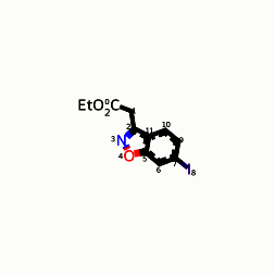 CCOC(=O)Cc1noc2cc(I)ccc12